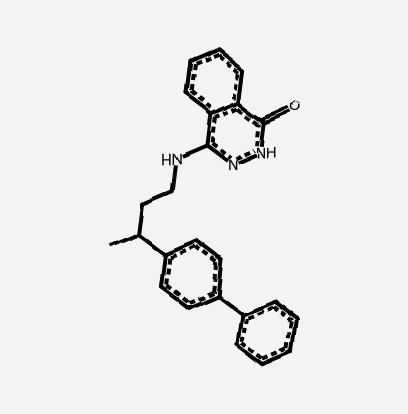 CC(CCNc1n[nH]c(=O)c2ccccc12)c1ccc(-c2ccccc2)cc1